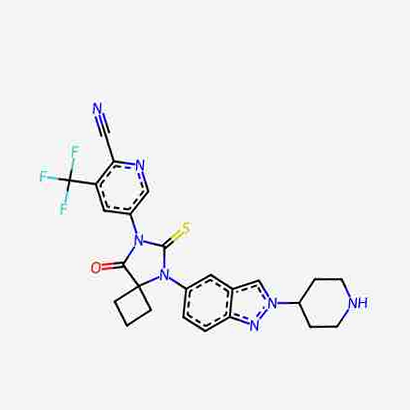 N#Cc1ncc(N2C(=O)C3(CCC3)N(c3ccc4nn(C5CCNCC5)cc4c3)C2=S)cc1C(F)(F)F